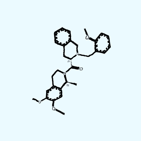 COc1ccccc1CN1Cc2ccccc2C[C@H]1C(=O)N1CCc2cc(OC)c(OC)cc2[C@@H]1C